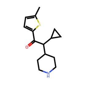 Cc1ccc(C(=O)C(C2CCNCC2)C2CC2)s1